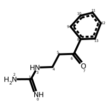 N=C(N)NCCC(=O)c1ccccc1